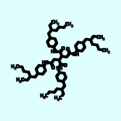 CCCCC(CC)CC1CCC(NC(=O)CC(C(=O)NC2CCC(CC(CC)CCCC)CC2)C(CC(=O)NC2CCC(CC(CC)CCCC)CC2)C(=O)NC2CCC(CC(CC)CCCC)CC2)CC1